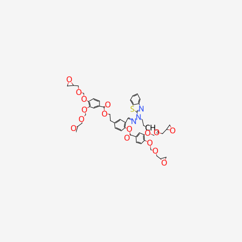 CCCN(/N=C/c1cc(CCOC(=O)c2ccc(OCOCC3CO3)c(OCOCC3CO3)c2)ccc1OC(=O)c1ccc(OCOCC2CO2)c(OCOCC2CO2)c1)c1nc2ccccc2s1